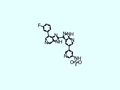 CS(=O)(=O)Nc1cncc(-c2cnc3[nH]nc(-c4nc5c(-c6cccc(F)c6)cncc5[nH]4)c3c2)c1